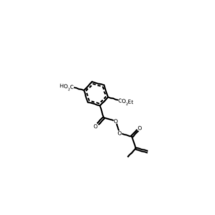 C=C(C)C(=O)OOC(=O)c1cc(C(=O)O)ccc1C(=O)OCC